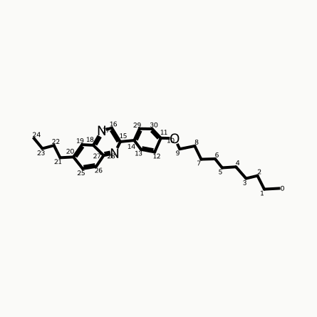 CCCCCCCCCCOc1ccc(-c2cnc3cc(CCCC)ccc3n2)cc1